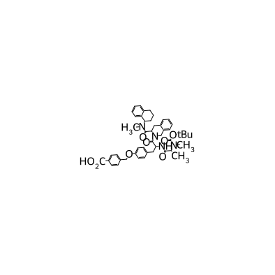 CC(C(=O)NC(Cc1ccc(OCc2ccc(C(=O)O)cc2)cc1)C(=O)N1Cc2ccccc2CC1C(=O)N(C)[C@@H]1CCCc2ccccc21)N(C)C(=O)OC(C)(C)C